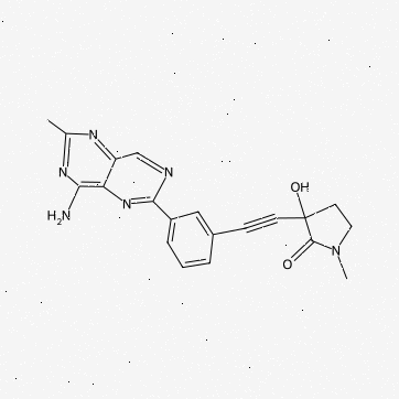 Cc1nc(N)c2nc(-c3cccc(C#CC4(O)CCN(C)C4=O)c3)ncc2n1